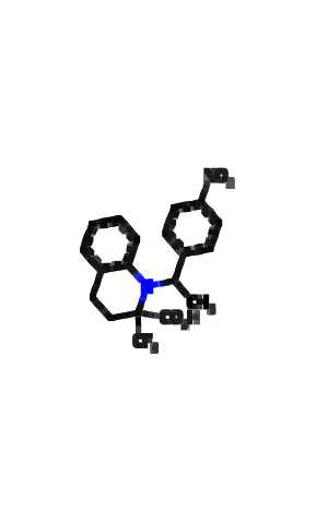 CC(c1ccc([N+](=O)[O-])cc1)N1c2ccccc2CCC1(C(=O)O)C(F)(F)F